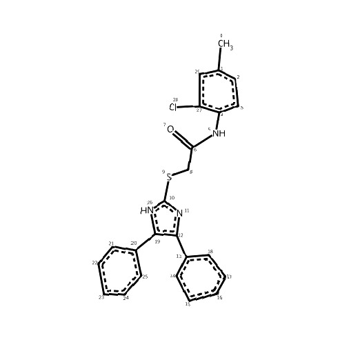 Cc1ccc(NC(=O)CSc2nc(-c3ccccc3)c(-c3ccccc3)[nH]2)c(Cl)c1